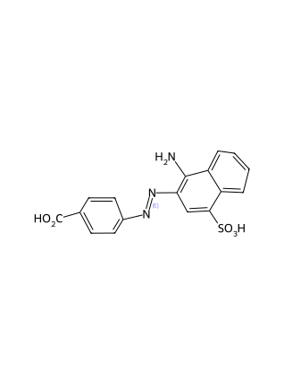 Nc1c(/N=N/c2ccc(C(=O)O)cc2)cc(S(=O)(=O)O)c2ccccc12